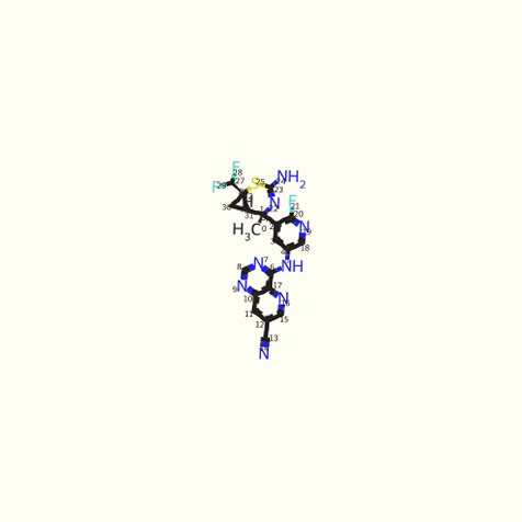 C[C@]1(c2cc(Nc3ncnc4cc(C#N)cnc34)cnc2F)N=C(N)S[C@@]2(C(F)F)C[C@@H]12